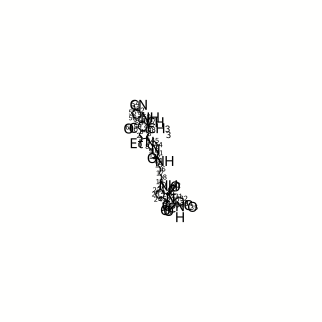 CCc1cc2c(cc1N1CCN(CC(=O)NCCCCCNc3cccc4c(=C=O)n(C5CCC(=C=O)NC5=C=O)c(=C=O)c34)CC1)C(C)(C)c1[nH]c3cc(C#N)ccc3c1C2=C=O